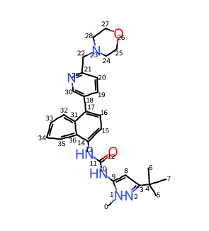 Cn1nc(C(C)(C)C)cc1NC(=O)Nc1ccc(-c2ccc(CN3CCOCC3)nc2)c2ccccc12